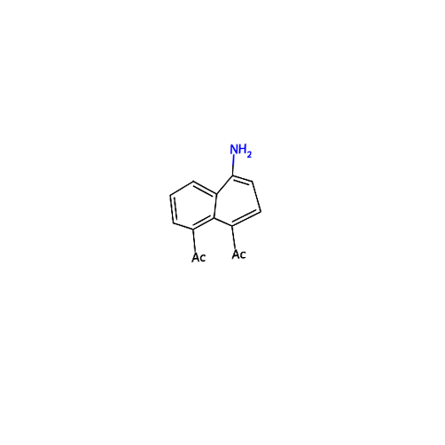 CC(=O)c1cccc2c(N)ccc(C(C)=O)c12